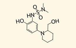 CN(C)S(=O)(=O)Nc1cc(N2CCCCC2CO)ccc1O